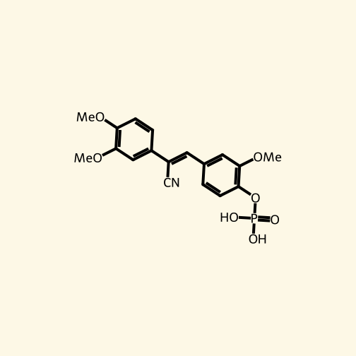 COc1ccc(C(C#N)=Cc2ccc(OP(=O)(O)O)c(OC)c2)cc1OC